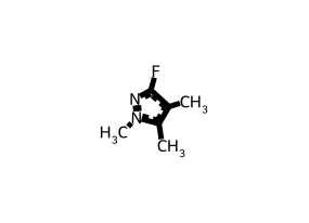 Cc1c(F)nn(C)c1C